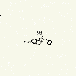 COc1ccc2c(c1)CCN(C)C2CN(C)CCc1ccccc1.Cl.Cl